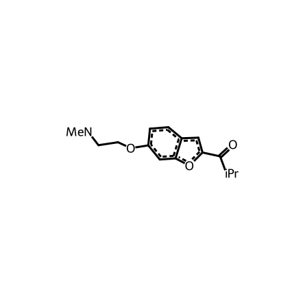 CNCCOc1ccc2cc(C(=O)C(C)C)oc2c1